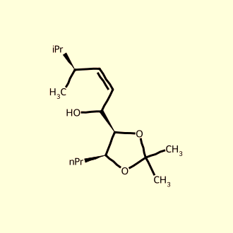 CCC[C@@H]1OC(C)(C)O[C@@H]1C(O)/C=C\[C@@H](C)C(C)C